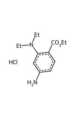 CCOC(=O)c1ccc(N)cc1N(CC)CC.Cl